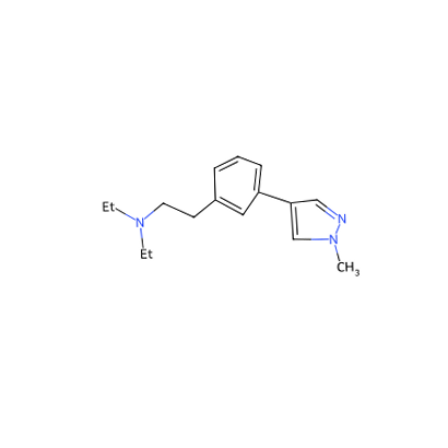 CCN(CC)CCc1cccc(-c2cnn(C)c2)c1